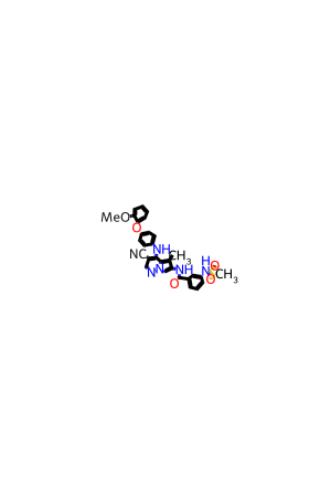 COc1ccccc1Oc1ccc(Nc2c(C#N)cnn3cc(NC(=O)c4cccc(NS(C)(=O)=O)c4)c(C)c23)cc1